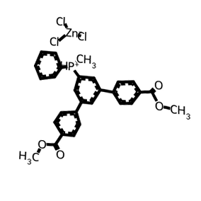 COC(=O)c1ccc(-c2cc(-c3ccc(C(=O)OC)cc3)cc([PH+](C)c3ccccc3)c2)cc1.[Cl][Zn-]([Cl])[Cl]